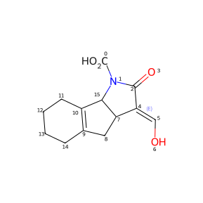 O=C(O)N1C(=O)/C(=C/O)C2CC3=C(CCCC3)C21